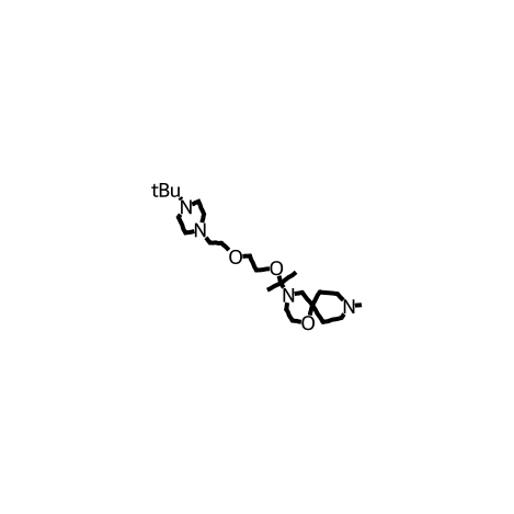 CN1CCC2(CC1)CN(C(C)(C)OCCOCCN1CCN(C(C)(C)C)CC1)CCO2